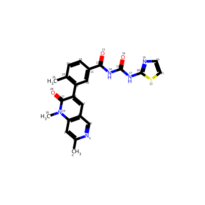 Cc1cc2c(cn1)cc(-c1cc(C(=O)NC(=O)Nc3nccs3)ccc1C)c(=O)n2C